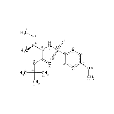 CC[C@H](C)[C@H](NS(=O)(=O)c1ccc(OC)cc1)C(=O)OC(C)(C)C